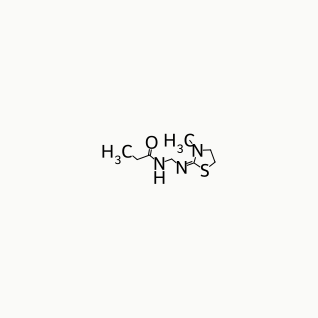 CCC(=O)NCN=C1SCCN1C